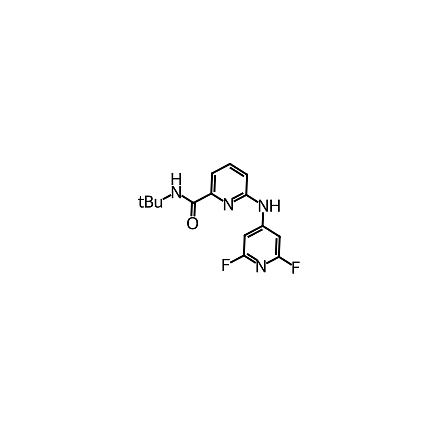 CC(C)(C)NC(=O)c1cccc(Nc2cc(F)nc(F)c2)n1